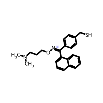 CN(C)CCCO/N=C(/c1ccc(CS)cc1)c1cccc2ccccc12